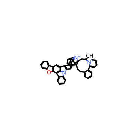 C=C1CC23Cc4cccc([n+]42)-c2cc4c5cc6c7ccccc7oc6c6c7ccccc7n(c4cc2C3CCc2ccccc2-c2cccc[n+]21)c56